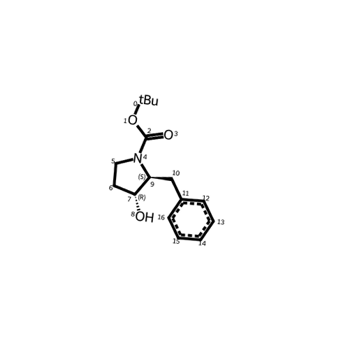 CC(C)(C)OC(=O)N1CC[C@@H](O)[C@@H]1Cc1ccccc1